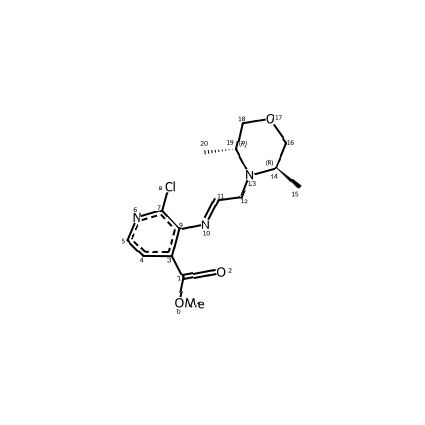 COC(=O)c1ccnc(Cl)c1N=CCN1[C@H](C)COC[C@H]1C